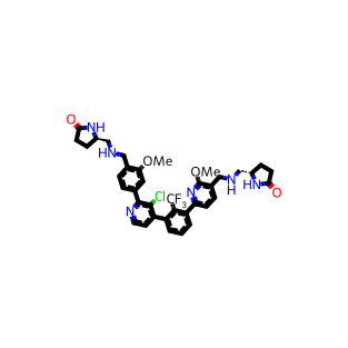 COc1cc(-c2nccc(-c3cccc(-c4ccc(CNC[C@@H]5CCC(=O)N5)c(OC)n4)c3C(F)(F)F)c2Cl)ccc1CNC[C@H]1CCC(=O)N1